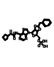 O=C(Nc1ncnc2c1ncn2[C@@H]1O[C@H](COP(=O)(O)O)C2OC(Cc3ccccc3)OC21)NC1CCCC1